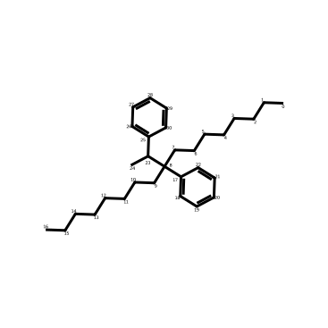 CCCCCCCCC(CCCCCCCC)(c1ccccc1)C(C)c1ccccc1